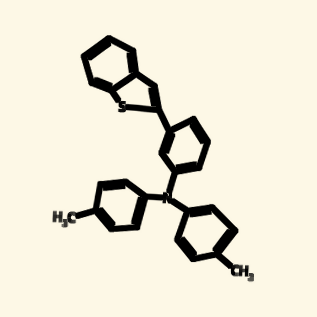 Cc1ccc(N(c2ccc(C)cc2)c2cccc(-c3cc4ccccc4s3)c2)cc1